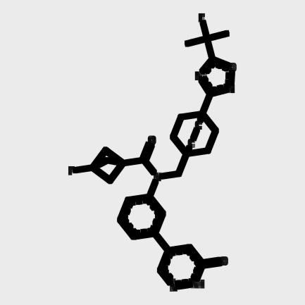 CC(C)(F)c1nc(C23CCC(CN(C(=O)C45CC(F)(C4)C5)c4cccc(-c5cn[nH]c(=O)c5)c4)(CC2)CC3)no1